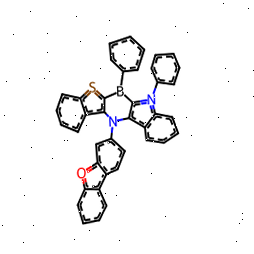 c1ccc(B2c3sc4ccccc4c3N(c3ccc4c(c3)oc3ccccc34)c3c2n(-c2ccccc2)c2ccccc32)cc1